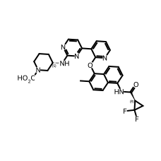 Cc1ccc2c(NC(=O)[C@H]3CC3(F)F)cccc2c1Oc1ncccc1-c1ccnc(N[C@H]2CCCN(C(=O)O)C2)n1